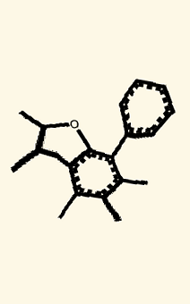 Cc1c(C)c(-c2ccccc2)c2c(c1C)C(C)C(C)O2